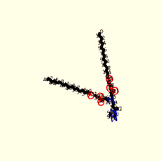 CCCCCCCCCCCCCCCCOCCOC(=O)CCN(CCC(=O)OCCOCCCCCCCCCCCCCCCC)CCC(C)n1ccnc1